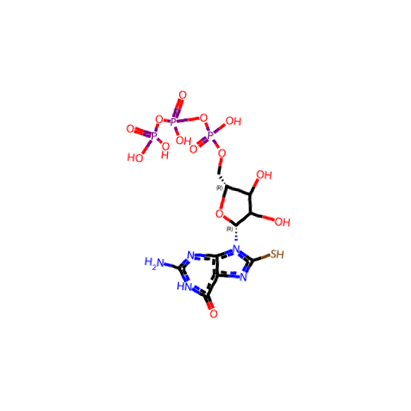 Nc1nc2c(nc(S)n2[C@@H]2O[C@H](COP(=O)(O)OP(=O)(O)OP(=O)(O)O)C(O)C2O)c(=O)[nH]1